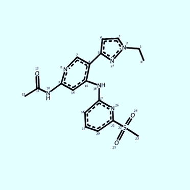 CCn1ccc(-c2cnc(NC(C)=O)cc2Nc2cccc(S(C)(=O)=O)n2)n1